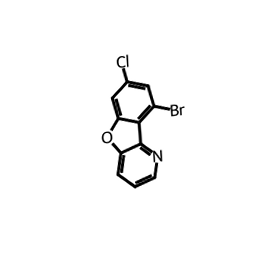 Clc1cc(Br)c2c(c1)oc1cccnc12